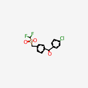 O=C(c1ccc(Cl)cc1)c1ccc(CS(=O)(=O)C(F)F)cc1